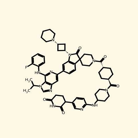 CC(C)n1cnc2cc(-c3ccc4c(c3)N([C@H]3C[C@@H](N5CCCCC5)C3)C(=O)C43CCN(C(=O)[C@H]4CC[C@H](C(=O)N5CCC(Nc6ccc(C7CCC(=O)NC7=O)cn6)CC5)CC4)CC3)nc(Nc3ccccc3F)c21